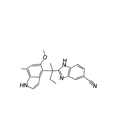 CCC(C)(c1nc2cc(C#N)ccc2[nH]1)c1c(OC)cc(C)c2[nH]ccc12